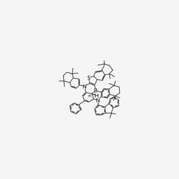 CC1(C)CCC(C)(C)C2=CC3C4=C(SC3C=C21)N(C1=CC2C(C=C1)C(C)(C)CCC2(C)C)C1=CC(c2ccccc2)=CC2[C@H]1B4c1cc3c(cc1N2c1cccc2c1-c1ccccc1C2(C)C)C(C)(C)CCC3(C)C